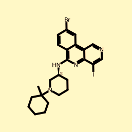 CC1(N2CCC[C@H](Nc3nc4c(I)cncc4c4cc(Br)ccc34)C2)CCCCC1